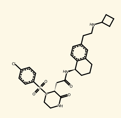 O=C(C[C@@H]1C(=O)NCCN1S(=O)(=O)c1ccc(Cl)cc1)N[C@@H]1CCCc2cc(CCNC3CCC3)ccc21